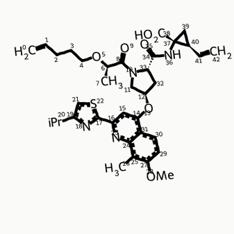 C=CCCCO[C@H](C)C(=O)N1C[C@H](Oc2cc(-c3nc(C(C)C)cs3)nc3c(C)c(OC)ccc23)C[C@H]1C(=O)N[C@]1(C(=O)O)C[C@H]1C=C